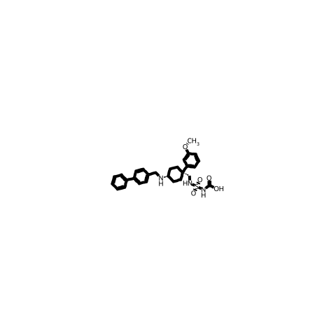 COc1cccc([C@]2(CNS(=O)(=O)NC(=O)O)CC[C@@H](NCc3ccc(-c4ccccc4)cc3)CC2)c1